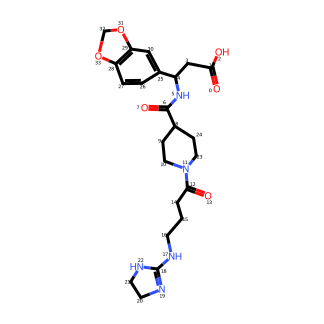 O=C(O)CC(NC(=O)C1CCN(C(=O)CCCNC2=NCCN2)CC1)c1ccc2c(c1)OCO2